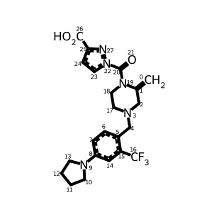 C=C1CN(Cc2ccc(N3CCCC3)cc2C(F)(F)F)CCN1C(=O)n1ccc(C(=O)O)n1